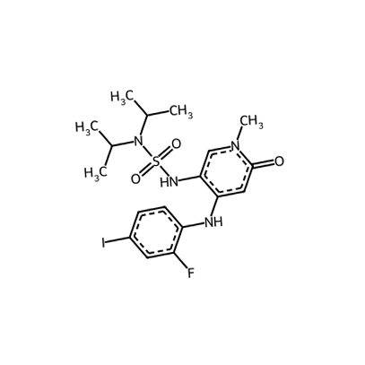 CC(C)N(C(C)C)S(=O)(=O)Nc1cn(C)c(=O)cc1Nc1ccc(I)cc1F